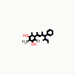 BC1=C(O)C(C)C(/C(C)=C/C(C)=C(C2=CCCC=C2)\C(C)=C\C)C(CC)=C1O